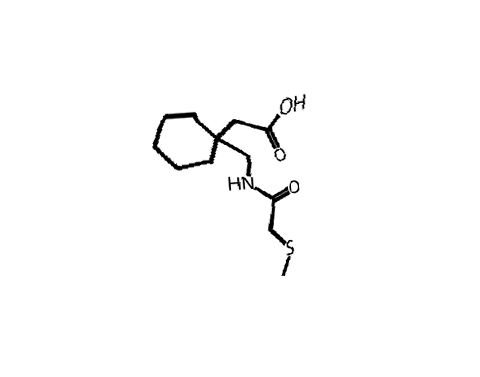 CSCC(=O)NCC1(CC(=O)O)CCCCC1